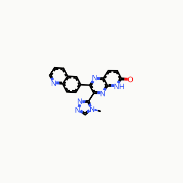 Cn1cnnc1-c1nc2[nH]c(=O)ccc2nc1-c1ccc2ncccc2c1